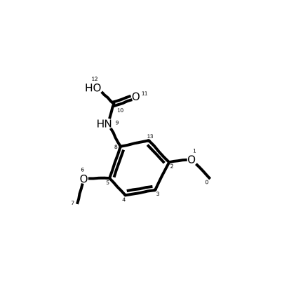 COc1ccc(OC)c(NC(=O)O)c1